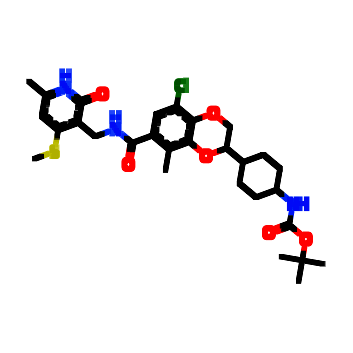 CSc1cc(C)[nH]c(=O)c1CNC(=O)c1cc(Cl)c2c(c1C)OC(C1CCC(NC(=O)OC(C)(C)C)CC1)CO2